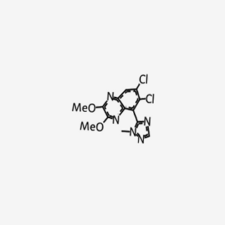 COc1nc2cc(Cl)c(Cl)c(-c3ncnn3C)c2nc1OC